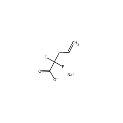 C=CCC(F)(F)C(=O)[O-].[Na+]